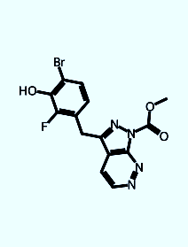 COC(=O)n1nc(Cc2ccc(Br)c(O)c2F)c2ccnnc21